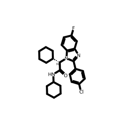 O=C(NC1CCCCC1)[C@H](C1CCCCC1)n1c(-c2ccc(Cl)cc2)nc2cc(F)ccc21